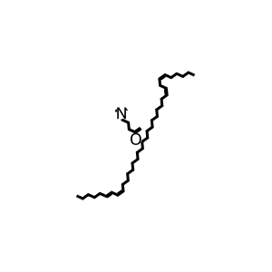 C=C(CCCN(C)C)OC(CCCCCCCC/C=C\C=C\CCCCC)CCCCCCCC/C=C\C/C=C\CCCCC